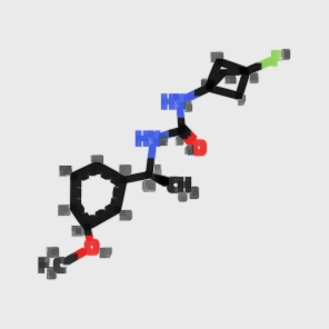 C[C@H](NC(=O)NC12CC(F)(C1)C2)c1cccc(OC(F)(F)F)c1